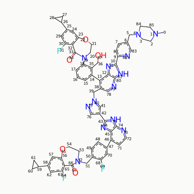 CN1CCN(Cc2ccc(-c3nc4c(-c5cccc(N6CCOc7cc(C8CC8)cc(F)c7C6=O)c5CO)c(Cn5cc(-c6nc7c(-c8ccc(CN9CCOc%10cc(C%11CC%11)cc(F)c%10C9=O)c(F)c8)ccnc7[nH]6)cn5)cnc4[nH]3)nc2)CC1